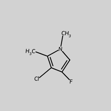 Cc1c(Cl)c(F)cn1C